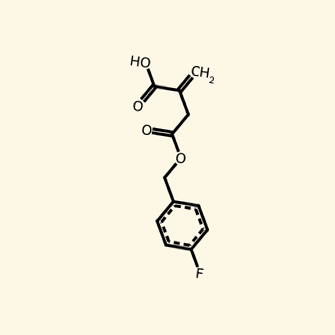 C=C(CC(=O)OCc1ccc(F)cc1)C(=O)O